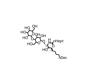 CCCCCCCCCCCCC/C=C/[C@@H](O)[C@H](COC1OC(CO)C(OC2OC(CO)C(O)C(O)C2O)C(O)C1O)NC(=O)CCCCCCC